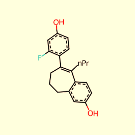 CCCC1=C(c2ccc(O)cc2F)CCCc2cc(O)ccc21